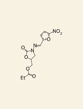 CCC(=O)OCC1CN(N=Cc2ccc([N+](=O)[O-])o2)C(=O)O1